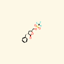 O=C1O[C@H](COS(=O)(=O)C(F)(F)F)C[C@H]1Cc1ccccc1